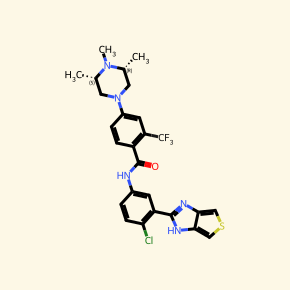 C[C@@H]1CN(c2ccc(C(=O)Nc3ccc(Cl)c(-c4nc5cscc5[nH]4)c3)c(C(F)(F)F)c2)C[C@H](C)N1C